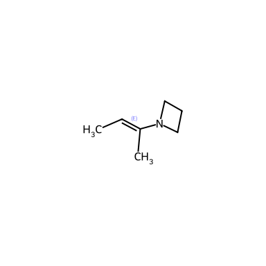 C/C=C(\C)N1CCC1